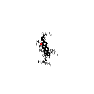 COC(=O)c1ccc(C2=CC[C@]3(C)[C@H]4CC[C@@H]5[C@H]6[C@H](C(C)C)CC[C@]6(C(=O)NCCN(C)C)CC[C@@]5(C)[C@]4(C)CC[C@H]3C2(C)C)s1